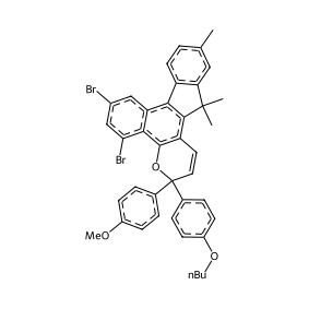 CCCCOc1ccc(C2(c3ccc(OC)cc3)C=Cc3c4c(c5cc(Br)cc(Br)c5c3O2)-c2ccc(C)cc2C4(C)C)cc1